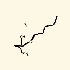 CCCCCOP(O)(O)=S.[Zn]